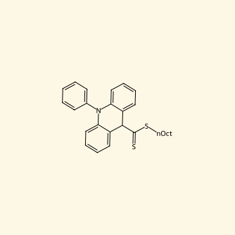 CCCCCCCCSC(=S)C1c2ccccc2N(c2ccccc2)c2ccccc21